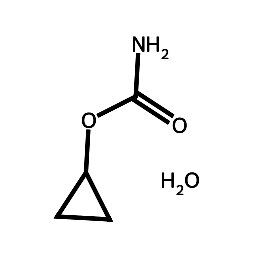 NC(=O)OC1CC1.O